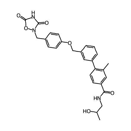 Cc1cc(C(=O)NCC(C)O)ccc1-c1cccc(COc2ccc(Cn3oc(=O)[nH]c3=O)cc2)c1